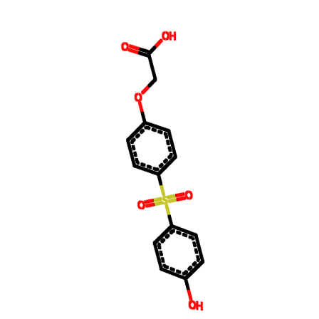 O=C(O)COc1ccc(S(=O)(=O)c2ccc(O)cc2)cc1